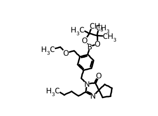 CCCCC1=NC2(CCCC2)C(=O)N1Cc1ccc(B2OC(C)(C)C(C)(C)O2)c(COCC)c1